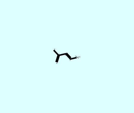 [2H]/C=C/C(=C)C